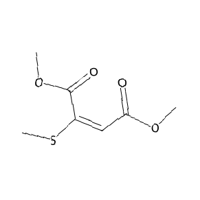 COC(=O)/C=C(/SC)C(=O)OC